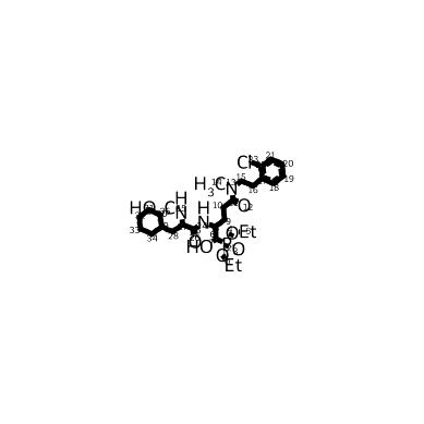 CCOP(=O)(OCC)C(O)C(CCC(=O)N(C)CCc1ccccc1Cl)NC(=O)C(CC1CCCCC1)NC(=O)O